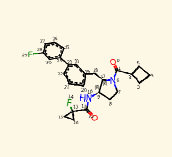 O=C(C1CCC1)N1CC[C@@H](NC(=O)C2(F)CC2)[C@H]1Cc1cccc(-c2cccc(F)c2)c1